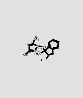 CC1Cc2ccccc2C1(C)NN1[N+]=C(Cl)C=C1C(F)(F)F